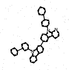 c1ccc(-c2ccc(-n3c4ccc(-c5ccc6c7ccccc7n(-c7cccc(-c8ccccc8)c7)c6c5)cc4c4cccnc43)cc2)cc1